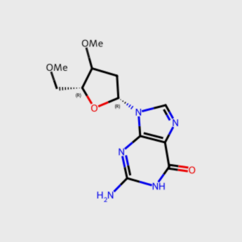 COC[C@H]1O[C@@H](n2cnc3c(=O)[nH]c(N)nc32)CC1OC